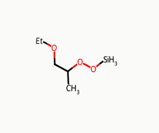 CCOCC(C)OO[SiH3]